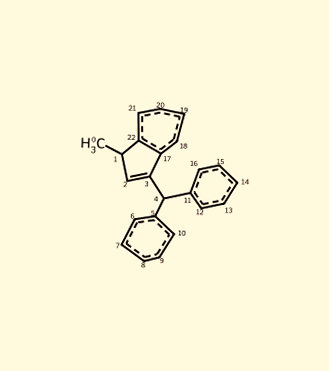 CC1C=C(C(c2ccccc2)c2ccccc2)c2ccccc21